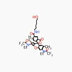 CCN(C(=O)C(F)(F)F)c1cc2c(cc1C)C1(OC(=O)c3cc(C(=O)NCCCCCCO)ccc31)c1cc(C)c(N(CC)C(=O)C(F)(F)F)cc1O2